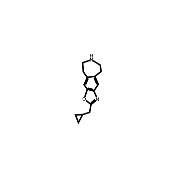 c1c2c(cc3oc(CC4CC4)nc13)CCNCC2